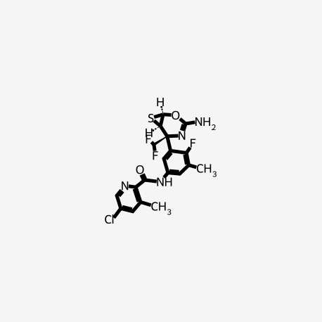 Cc1cc(Cl)cnc1C(=O)Nc1cc(C)c(F)c([C@@]2(C(F)F)N=C(N)O[C@@H]3S[C@@H]32)c1